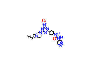 CN1CCCN(c2nc(-c3ccc(NC(=O)Nc4ccnnc4)cc3)nc(N3CCOCC3)n2)CC1